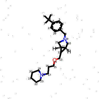 CC(C)(C)c1ccc(CN2C[C@@H]3C(COCCCN4CCCCC4)[C@@H]3C2)cc1